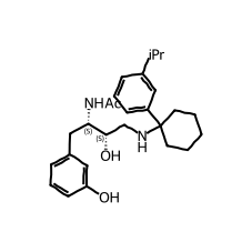 CC(=O)N[C@@H](Cc1cccc(O)c1)[C@@H](O)CNC1(c2cccc(C(C)C)c2)CCCCC1